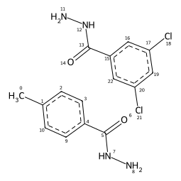 Cc1ccc(C(=O)NN)cc1.NNC(=O)c1cc(Cl)cc(Cl)c1